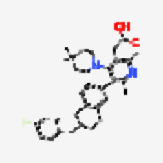 Cc1nc(C)c(-c2ccc3c(c2)CCC(Cc2ccc(F)cc2)C3)c(N2CCC(C)(C)CC2)c1CC(=O)O